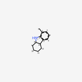 Cc1cccc2c1NC1CCCCC21